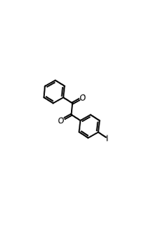 O=C(C(=O)c1ccc(I)cc1)c1ccccc1